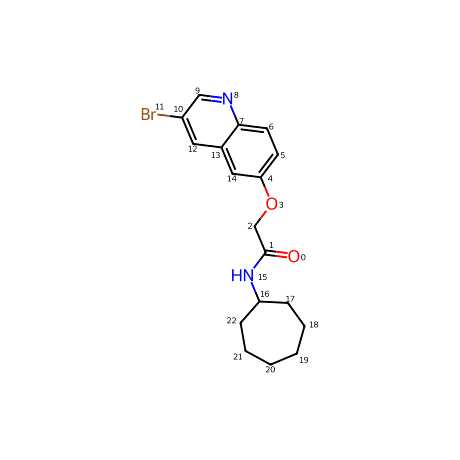 O=C(COc1ccc2ncc(Br)cc2c1)NC1CCCCCC1